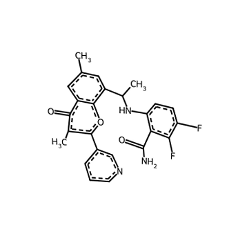 Cc1cc(C(C)Nc2ccc(F)c(F)c2C(N)=O)c2oc(-c3cccnc3)c(C)c(=O)c2c1